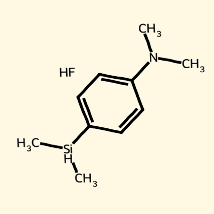 CN(C)c1ccc([SiH](C)C)cc1.F